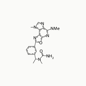 CNc1nc2oc(-c3cccc(C(C)N(C)C(N)=O)c3)nc2c2c1ncn2C